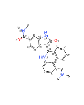 CN(C)Cc1cccc(NC(=C2C(=O)Nc3cc(C(=O)N(C)C)ccc32)c2ccccc2)c1